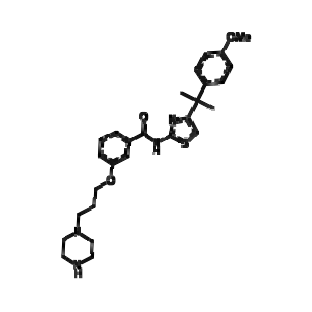 COc1ccc(C(C)(C)c2csc(NC(=O)c3cccc(OCCCN4CCNCC4)c3)n2)cc1